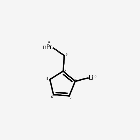 [Li][C]1=C(CCCC)CC=C1